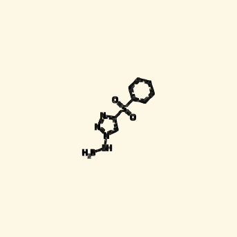 BBn1cc(S(=O)(=O)c2ccccc2)nn1